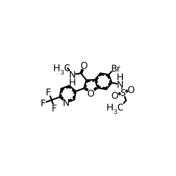 CCS(=O)(=O)Nc1cc2oc(-c3ccc(C(F)(F)F)nc3)c(C(=O)NC)c2cc1Br